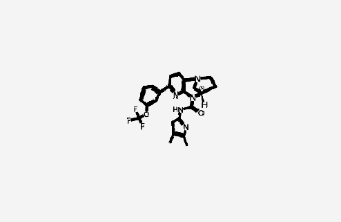 CC1=C(C)N=C(NC(=O)N2c3nc(-c4cccc(OC(F)(F)F)c4)ccc3N3CC[C@H]2C3)C1